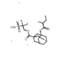 CCC(I)C(=O)OC12CC3CC(C1)CC(C(=O)OCC(F)(F)S(=O)(=O)O)(C3)C2